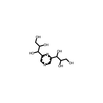 OCC(O)C(O)c1cncc(C(O)C(O)CO)n1